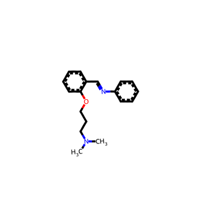 CN(C)CCCOc1ccccc1C=Nc1ccccc1